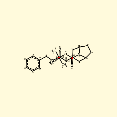 CC(C)(C)OC(=O)N1C2CCC1CC(NC(=O)OCc1ccccc1)C2